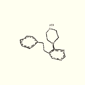 Cl.c1ccc(CCc2cncnc2N2CCOCC2)cc1